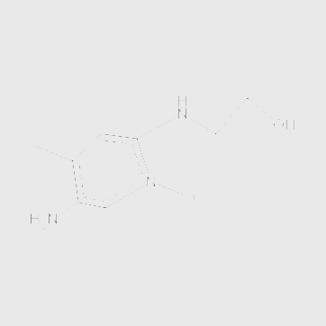 Cc1cc(NCCO)[n+]([O-])cc1N